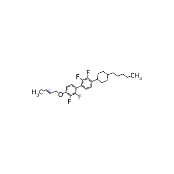 C/C=C/COc1ccc(-c2ccc(C3CCC(CCCCC)CC3)c(F)c2F)c(F)c1F